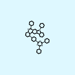 c1ccc(-c2nc(-c3ccccc3)nc(-c3ccc(-c4cccc5nc(-c6ccccc6)c6cc7c(cc6c45)c4ccccc4n7-c4ccccc4)cc3)n2)cc1